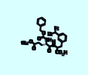 CCC(CC)c1cccc(C[C@H](NC(=O)[C@H](CCC(=O)OC(C)(C)C)NC(=O)OCc2ccccc2)C(=O)O)c1